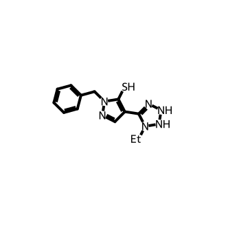 CCN1NNN=C1c1cnn(Cc2ccccc2)c1S